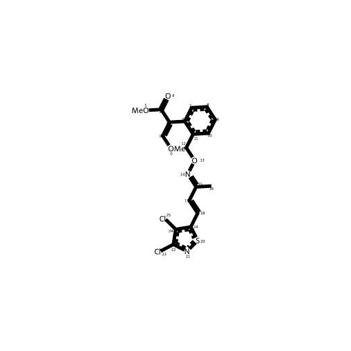 CO/C=C(/C(=O)OC)c1ccccc1CO/N=C(C)/C=C/c1snc(Cl)c1Cl